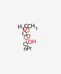 CCCc1ccc([C@@H]2COc3c(ccc4c3CCC(C)(C)O4)C2)c(O)c1